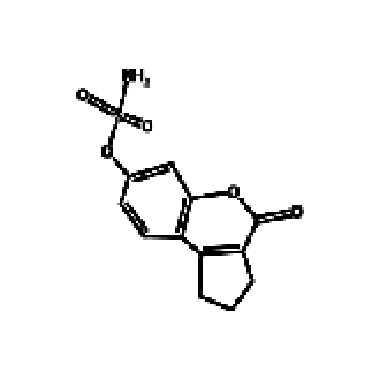 NS(=O)(=O)Oc1ccc2c3c(c(=O)oc2c1)CCC3